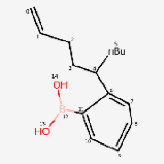 C=CCCC(CCCC)c1ccccc1B(O)O